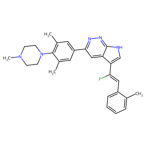 Cc1ccccc1/C=C(\F)c1c[nH]c2nnc(-c3cc(C)c(N4CCN(C)CC4)c(C)c3)cc12